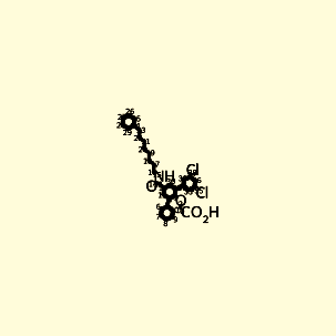 O=C(O)COc1c(-c2ccccc2)cc(C(=O)NCCCCCCCCc2ccccc2)cc1-c1cc(Cl)cc(Cl)c1